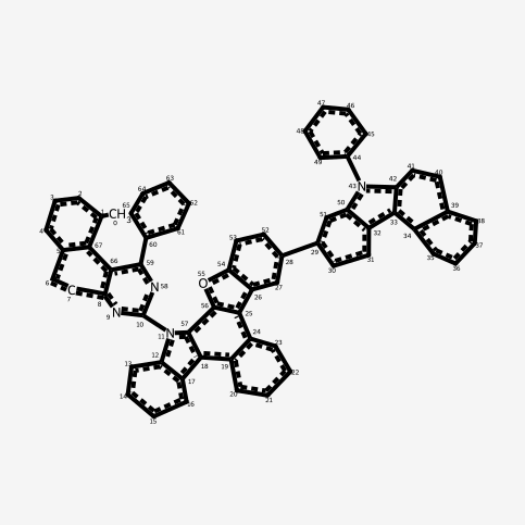 Cc1cccc2ccc3nc(-n4c5ccccc5c5c6ccccc6c6c7cc(-c8ccc9c%10c%11ccccc%11ccc%10n(-c%10ccccc%10)c9c8)ccc7oc6c54)nc(-c4ccccc4)c3c12